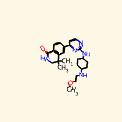 COCCNC1CCC(Nc2nccc(-c3ccc4c(c3)C(C)(C)CNC4=O)n2)CC1